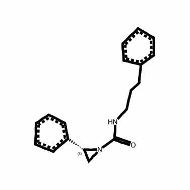 O=C(NCCCc1ccccc1)N1C[C@@H]1c1ccccc1